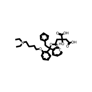 CCN(CC)CCCCOc1ccccc1C(Cc1ccccc1)(OC(=O)CC(O)(CC(=O)O)C(=O)O)c1ccccc1